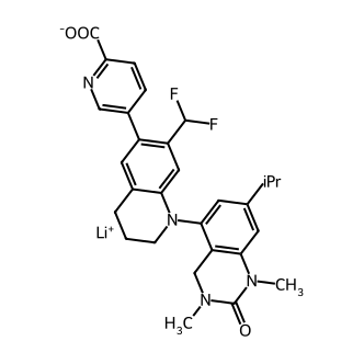 CC(C)c1cc2c(c(N3CCCc4cc(-c5ccc(C(=O)[O-])nc5)c(C(F)F)cc43)c1)CN(C)C(=O)N2C.[Li+]